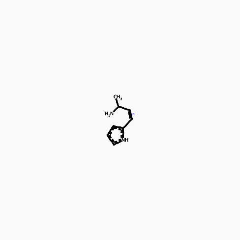 CC(N)/C=C\c1ccc[nH]1